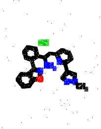 Cl.Cn1cc(-c2cccc(CC(N)c3ccccc3-c3noc4ccccc34)n2)cn1